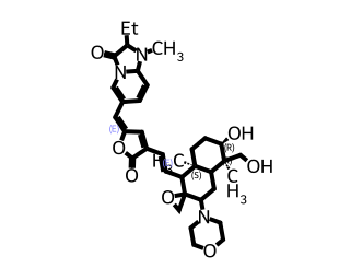 CCC1C(=O)N2C=C(/C=C3C=C(/C=C/C4C5(CO5)C(N5CCOCC5)CC5[C@]4(C)CC[C@@H](O)[C@@]5(C)CO)C(=O)O\3)C=CC2N1C